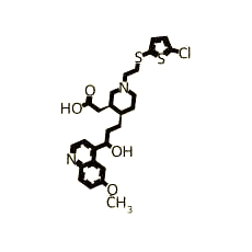 COc1ccc2nccc(C(O)CC[C@@H]3CCN(CCSc4ccc(Cl)s4)C[C@@H]3CC(=O)O)c2c1